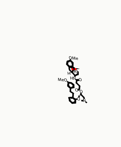 COc1cccc(CCc2ccccc2OC[C@@H](CN(C)C)OC(=O)CCC(=O)NC2CC[C@@]34CCCC[C@@H]3[C@@H]2Cc2ccc(OC)cc24)c1